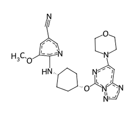 COc1cc(C#N)cnc1N[C@H]1CC[C@@H](Oc2nc(N3CCOCC3)cc3ncnn23)CC1